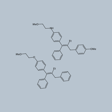 CCC(Cc1ccc(OC)cc1)=C(c1ccccc1)c1ccc(NCCOC)cc1.CCC(Cc1ccccc1)=C(c1ccccc1)c1ccc(OCCOC)cc1